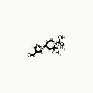 CC1(C)CC(n2cc(C=O)cn2)CCN1C(=O)O